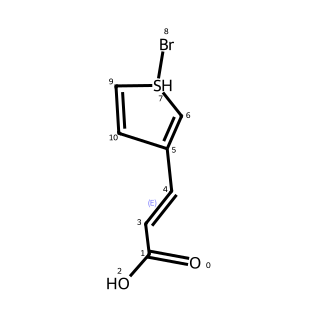 O=C(O)/C=C/C1=C[SH](Br)C=C1